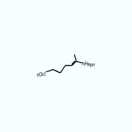 CCCCCCCCCCCC=C(C)CCCCCCC